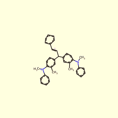 Cc1cc(C(/C=C/c2ccccc2)c2ccc(N(C)c3ccccc3)c(C)c2)ccc1N(C)c1ccccc1